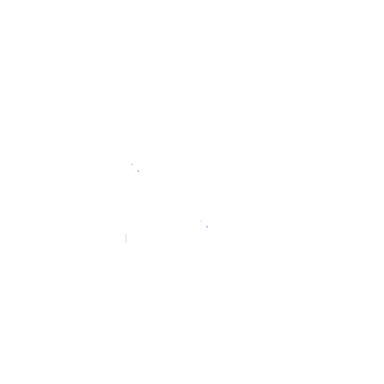 CC(C)(C)OC(=O)N1CCCCC1c1onc(-c2ccc(F)cc2)c1I